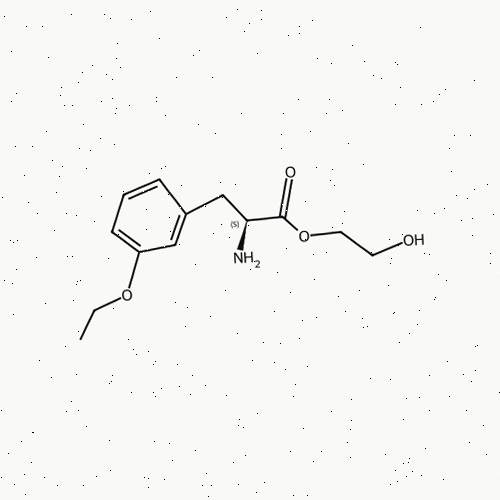 CCOc1cccc(C[C@H](N)C(=O)OCCO)c1